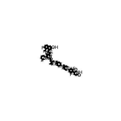 CCc1c(F)ccc2cc(O)cc(-c3ncc4c(N5CCC[C@H](C)C5)nc(OCC5(CN6CC7(CCC(N8CC9(CCN(c%10cc(F)c(C%11CCC(=O)NC%11=O)c(F)c%10)CC9)C8)CC7)C6)CC5)nc4c3F)c12